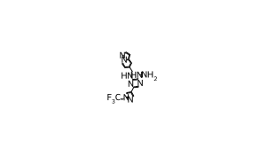 NNc1ncc(-c2cnn(CC(F)(F)F)c2)nc1NCc1ccn2nccc2c1